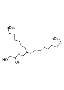 CCCCCCCC/C=C\CCCCCCC(C[CH]C(O)CO)CCCCCCCCCCCCCCCC